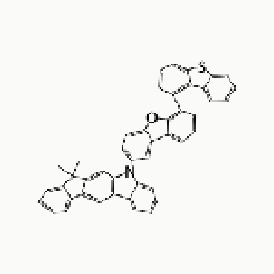 CC1(C)c2ccccc2-c2cc3c4ccccc4n(-c4ccc5oc6c(-c7cccc8sc9ccccc9c78)cccc6c5c4)c3cc21